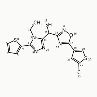 CCn1c(-c2cccs2)nnc1C(S)c1noc(-c2csc(Cl)c2)n1